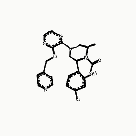 CCc1ccc2c(c1)NC(=O)N1C(C)CN(c3nccnc3OCc3ccncc3)CC21